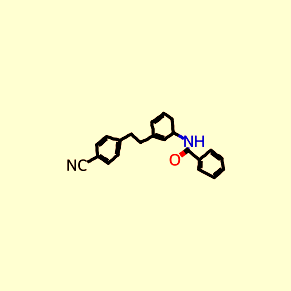 N#Cc1ccc(CCC2=CC(NC(=O)c3ccccc3)CC=C2)cc1